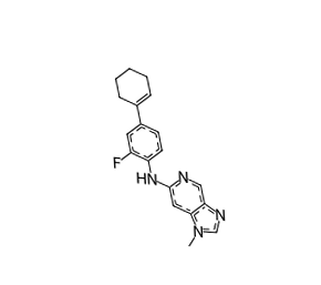 Cn1cnc2cnc(Nc3ccc(C4=CCCCC4)cc3F)cc21